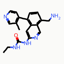 CCNC(=O)Nc1cc2c(-c3ccncc3C)ccc(CN)c2cn1